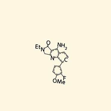 CCN1Cc2nc3c(-c4ccc(OC)c(F)c4)cccc3c(N)c2C1=O